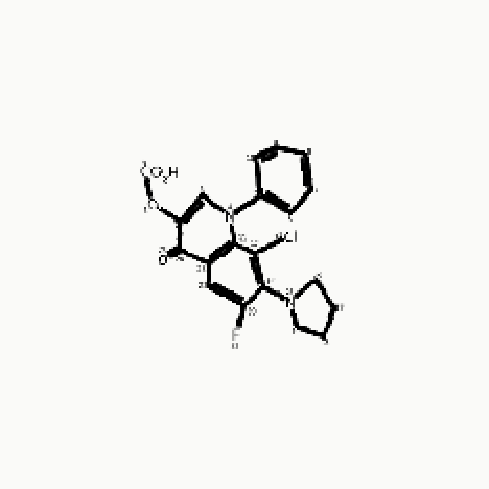 O=C(O)Oc1cn(-c2ccccc2)c2c(Cl)c(N3CCCC3)c(F)cc2c1=O